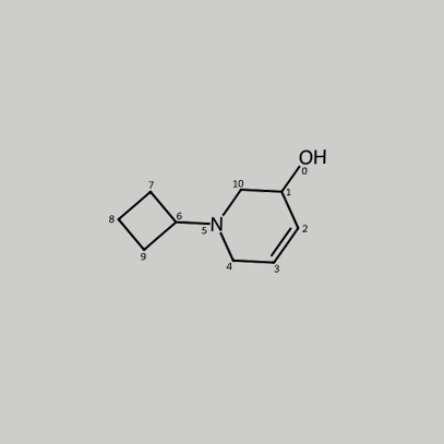 OC1C=CCN(C2CCC2)C1